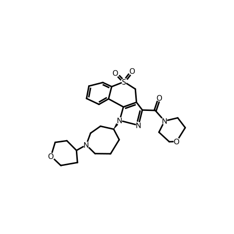 O=C(c1nn([C@H]2CCCN(C3CCOCC3)CC2)c2c1CS(=O)(=O)c1ccccc1-2)N1CCOCC1